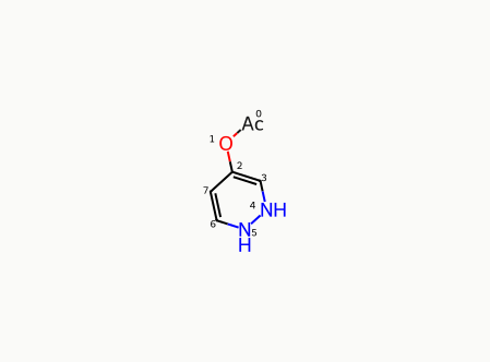 CC(=O)OC1=CNNC=C1